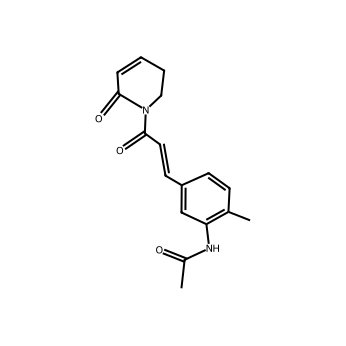 CC(=O)Nc1cc(/C=C/C(=O)N2CCC=CC2=O)ccc1C